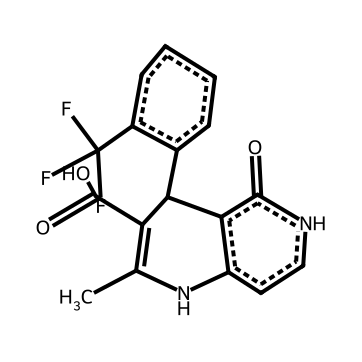 CC1=C(C(=O)O)C(c2ccccc2C(F)(F)F)c2c(cc[nH]c2=O)N1